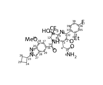 CCOc1c(CC(N)=O)cc([C@@](O)(CNC(=O)c2cc(OC)c3nn(C4CCC4)cc3c2)C(F)(F)F)nc1-c1ccc(F)cc1